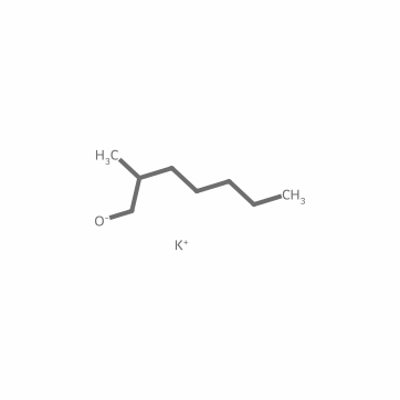 CCCCCC(C)C[O-].[K+]